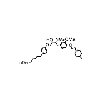 CCCCCCCCCCCCCCCc1ccc(OCC(O)C(Cc2ccc(OCCN3CCC(C)CC3)c(OC)c2)NC)cc1